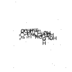 CC1CCC2(C(=O)O)CCC3C(=CCC4C3(C)CCC3C(C)(C)C(CC(O)C(O)C(O)C(O)CO)CCC34C)C2C1